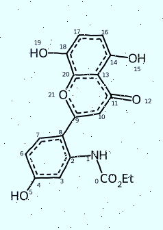 CCOC(=O)Nc1cc(O)ccc1-c1cc(=O)c2c(O)ccc(O)c2o1